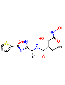 CC(C)C[C@@H](C(=O)N[C@@H](c1noc(-c2cccs2)n1)C(C)(C)C)[C@H](O)C(=O)NO